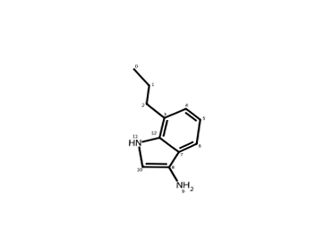 CCCc1cccc2c(N)c[nH]c12